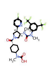 CN(C(=O)N(C)[C@@H]1CN(C(=O)[C@H]2CC[C@H](N(C)C(=O)O)CC2)C[C@H]1c1ccc(F)cn1)c1cc(C(F)(F)F)cc(C(F)(F)F)c1